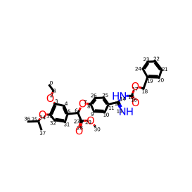 CCOc1cc(C(Oc2ccc(C(=N)NC(=O)OCc3ccccc3)cc2)C(=O)OC)ccc1OC(C)C